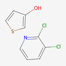 Clc1cccnc1Cl.Oc1ccsc1